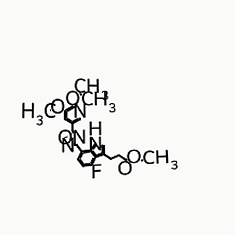 CCOC(=O)CCc1c[nH]c2c(-c3noc(-c4cnc(OC(C)C)c(OC)c4)n3)ccc(F)c12